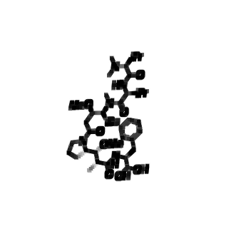 CC[C@H](C)[C@@H]([C@@H](CC(=O)N1CCC[C@H]1[C@H](OC)[C@@H](C)C(=O)N[C@@H](Cc1ccccc1)C(O)O)OC)N(C)C(=O)[C@@H](NC(=O)[C@H](C(C)C)N(C)C)C(C)C